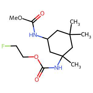 COC(=O)NC1CC(C)(C)CC(C)(NC(=O)OCCF)C1